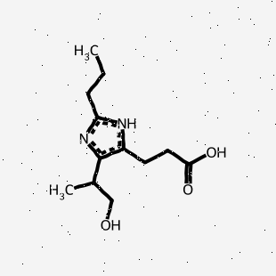 CCCc1nc(C(C)CO)c(CCC(=O)O)[nH]1